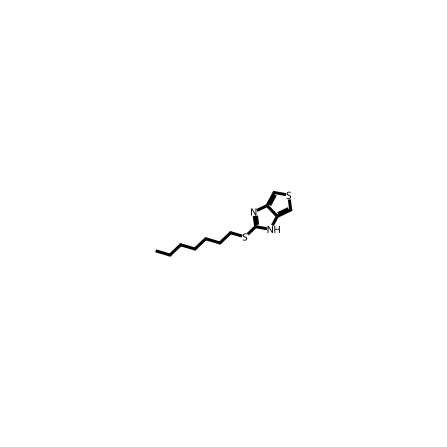 CCCCCCCSc1nc2cscc2[nH]1